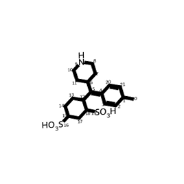 CC1C=CC(=C(C2CCNCC2)C2CCC(S(=O)(=O)O)CC2S(=O)(=O)O)C=C1